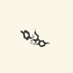 Cc1ccc(S(=O)(=O)c2[nH]c3ccc(Br)cc3c2CCI)cc1